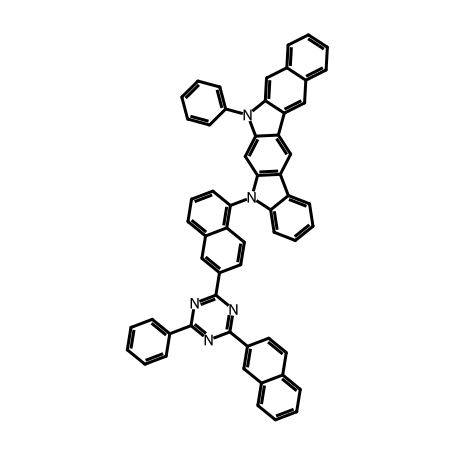 c1ccc(-c2nc(-c3ccc4ccccc4c3)nc(-c3ccc4c(-n5c6ccccc6c6cc7c8cc9ccccc9cc8n(-c8ccccc8)c7cc65)cccc4c3)n2)cc1